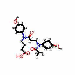 COc1ccc(N(CCCC(=O)O)C(=O)CCN(C(=O)C(C)C)c2ccc(OC)cc2)cc1